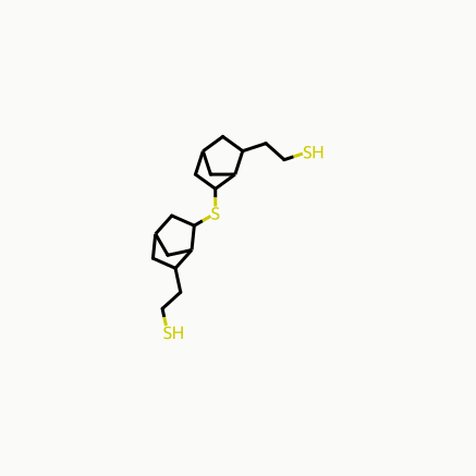 SCCC1CC2CC(SC3CC4CC(CCS)C3C4)C1C2